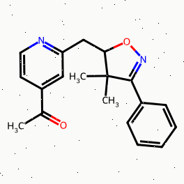 CC(=O)c1ccnc(CC2ON=C(c3ccccc3)C2(C)C)c1